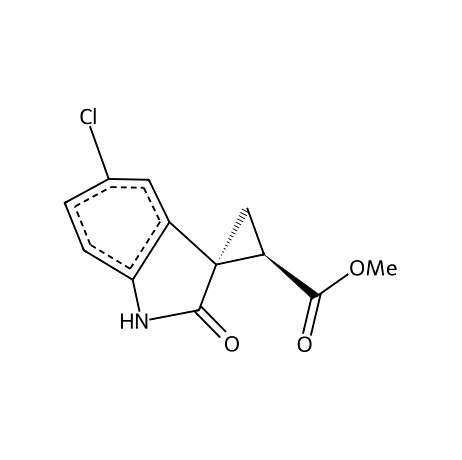 COC(=O)[C@@H]1C[C@@]12C(=O)Nc1ccc(Cl)cc12